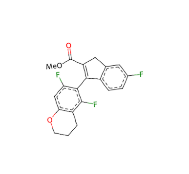 COC(=O)C1=C(c2c(F)cc3c(c2F)CCCO3)c2ccc(F)cc2C1